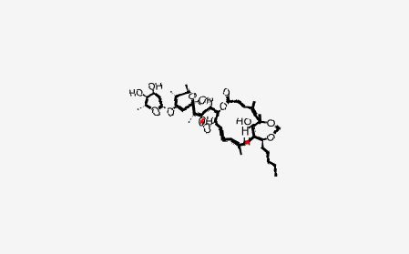 CCCCC[C@@H]1OCO[C@@]2(C)/C=C(C)/C=C/C(=O)O[C@H]([C@@H](C)[C@@H](O)[C@H](C)[C@@]3(O)C[C@@H](O[C@H]4C[C@@H](O)[C@H](O)[C@@H](C)O4)[C@H](C)[C@@H](C)O3)[C@@H](OC)/C=C/C=C(\C)C[C@H]1[C@@H]2O